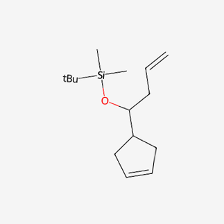 C=CCC(O[Si](C)(C)C(C)(C)C)C1CC=CC1